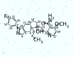 CCCC12Cc3cnn(-c4ccc(F)cc4)c3C=C1CC[C@@]2(O)CCc1nccc(OC)c1C(N)=O